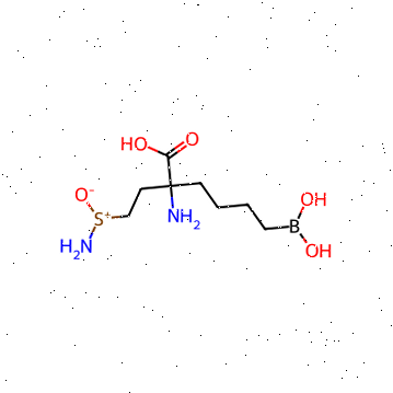 N[S+]([O-])CCC(N)(CCCCB(O)O)C(=O)O